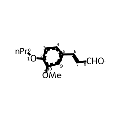 CCCOc1ccc(C=C[C]=O)cc1OC